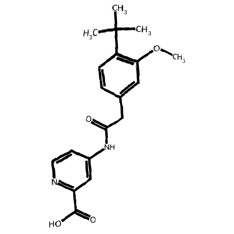 COc1cc(CC(=O)Nc2ccnc(C(=O)O)c2)ccc1C(C)(C)C